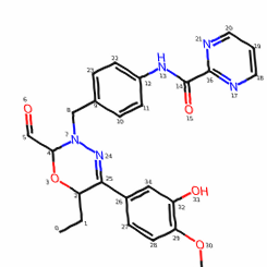 CCC1OC(C=O)N(Cc2ccc(NC(=O)c3ncccn3)cc2)N=C1c1ccc(OC)c(O)c1